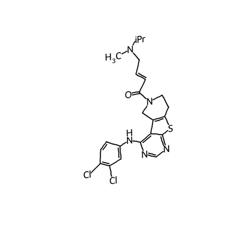 CC(C)N(C)CC=CC(=O)N1CCc2sc3ncnc(Nc4ccc(Cl)c(Cl)c4)c3c2C1